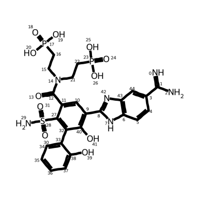 N=C(N)c1ccc2[nH]c(-c3cc(C(=O)N(CCP(=O)(O)O)CCP(=O)(O)O)c(S(N)(=O)=O)c(-c4ccccc4O)c3O)nc2c1